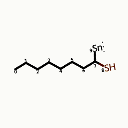 CCCCCCC[CH](S)[Sn]